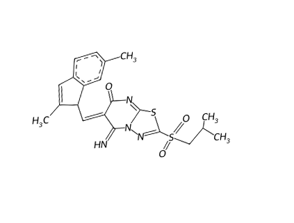 CC1=Cc2ccc(C)cc2C1/C=C1/C(=N)N2N=C(S(=O)(=O)CC(C)C)SC2=NC1=O